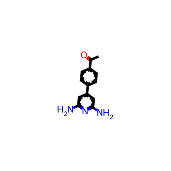 CC(=O)c1ccc(-c2cc(N)nc(N)c2)cc1